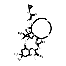 C=C(C)[C@@H](CN1C(=O)CC(C)(C)CC1=O)NC(=O)N[C@H]1COCCCCCCC[C@@H](C(=O)C(=O)NC2CC2)NC(=O)[C@@H]2[C@@H]3[C@H](CN2C1=O)C3(C)C